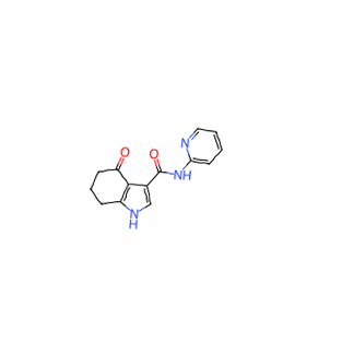 O=C(Nc1ccccn1)c1c[nH]c2c1C(=O)CCC2